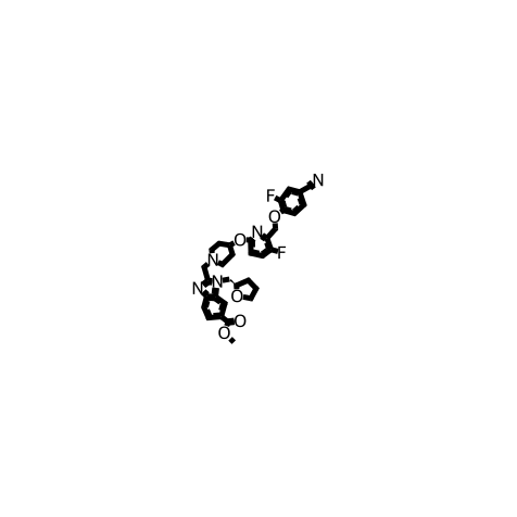 COC(=O)c1ccc2nc(CN3CCC(Oc4ccc(F)c(COc5ccc(C#N)cc5F)n4)CC3)n(C[C@@H]3CCCO3)c2c1